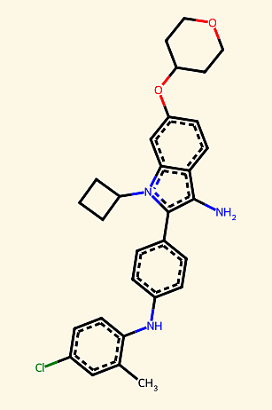 Cc1cc(Cl)ccc1Nc1ccc(-c2c(N)c3ccc(OC4CCOCC4)cc3n2C2CCC2)cc1